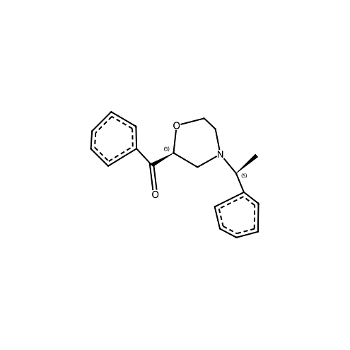 C[C@@H](c1ccccc1)N1CCO[C@H](C(=O)c2ccccc2)C1